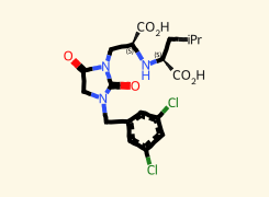 CC(C)C[C@H](N[C@@H](CN1C(=O)CN(Cc2cc(Cl)cc(Cl)c2)C1=O)C(=O)O)C(=O)O